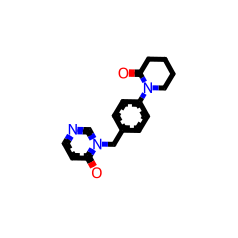 O=C1CCCCN1c1ccc(Cn2cnccc2=O)cc1